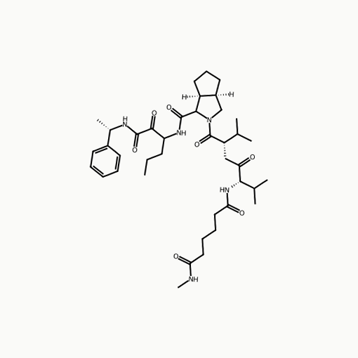 CCCC(NC(=O)C1[C@H]2CCC[C@H]2CN1C(=O)[C@@H](CC(=O)[C@@H](NC(=O)CCCCC(=O)NC)C(C)C)C(C)C)C(=O)C(=O)N[C@@H](C)c1ccccc1